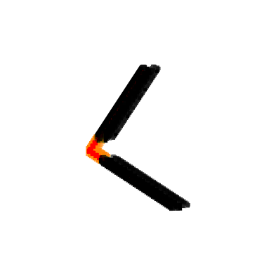 [Cu+2].[Cu+2].[Cu+2].[Cu+2].[Cu+2].[Cu+2].[Cu+2].[Cu+2].[Cu+2].[Cu+2].[Cu+2].[Cu+2].[Cu+2].[Cu+2].[Cu+2].[Cu+2].[Cu+2].[Cu+2].[Cu+2].[Cu+2].[Cu+2].[Cu+2].[Cu+2].[Cu+2].[Cu+2].[Cu+2].[Cu+2].[Cu+2].[Cu+2].[Cu+2].[Cu+2].[Cu+2].[Cu+2].[Cu+2].[Cu+2].[Cu+2].[Cu+2].[Cu+2].[Cu+2].[Cu+2].[Cu+2].[Cu+2].[Cu+2].[Cu+2].[Cu+2].[Cu+2].[Cu+2].[Cu+2].[Cu+2].[Cu+2].[Cu+2].[Cu+2].[Cu+2].[Cu+2].[Cu+2].[Cu+2].[Cu+2].[Cu+2].[Cu+2].[Cu+2].[Cu+2].[Cu+2].[Cu+2].[Cu+2].[Cu+2].[Cu+2].[Cu+2].[Cu+2].[Cu+2].[Cu+2].[Cu+2].[Cu+2].[Cu+2].[Cu+2].[Cu+2].[Cu+2].[Cu+2].[Cu+2].[Cu+2].[Cu+2].[Cu+2].[Cu+2].[Cu+2].[Cu+2].[Cu+2].[P-3].[P-3].[P-3].[P-3].[P-3].[P-3].[P-3].[P-3].[P-3].[P-3].[P-3].[P-3].[P-3].[P-3].[P-3]